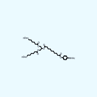 CCCCCCCCCCCCCCCC(=O)OCC(COC(=O)CCCCCCCCCCCCCCC)OC(=O)CCCCCCCCC(=O)Oc1ccc(NC(C)=O)cc1